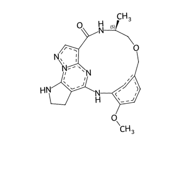 COc1ccc2cc1Nc1nc3c(cnn3c3c1CCN3)C(=O)N[C@@H](C)COC2